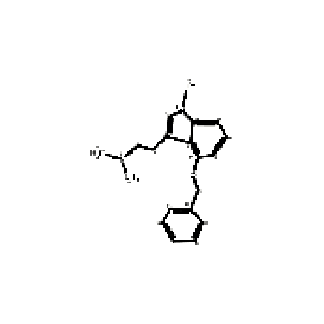 CC(C)n1cc(CCN(C)C)c2c(OCc3ccccc3)cccc21